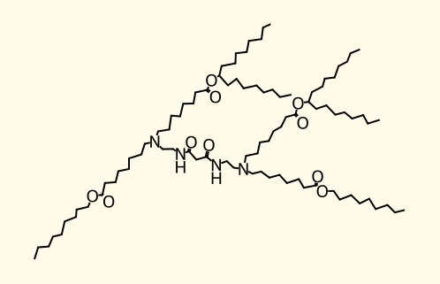 CCCCCCCCCOC(=O)CCCCCCCN(CCCCCCCC(=O)OC(CCCCCCCC)CCCCCCCC)CCNC(=O)CC(=O)NCCN(CCCCCCCC(=O)OCCCCCCCCC)CCCCCCCC(=O)OC(CCCCCCCC)CCCCCCCC